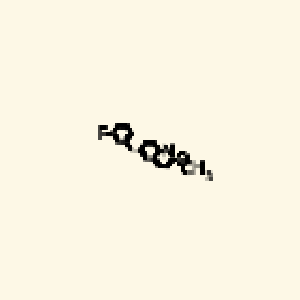 COc1ccc2cc(Cc3cccc(F)c3)ccc2n1